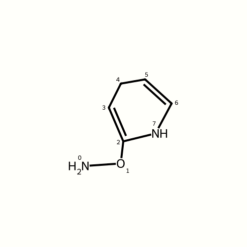 NOC1=CCC=CN1